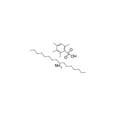 CCCCCCCCCCCCCCCC.Cc1cc(C)c(S(=O)(=O)O)c(C)c1C.N